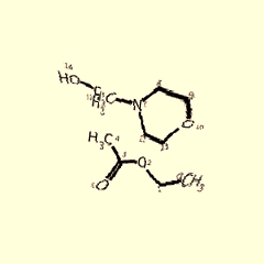 CCOC(C)=O.CN1CCOCC1.CO